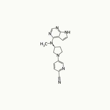 CN(c1ncnc2[nH]ccc12)[C@H]1CCN(c2ccc(C#N)nc2)C1